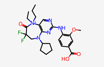 CCC[N+]1(CC)C(=O)C(F)(F)CN(C2CCCC2)c2nc(Nc3ccc(C(=O)O)cc3OC)ncc21